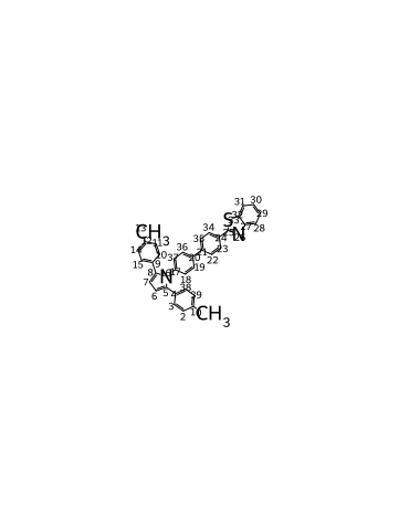 Cc1ccc(-c2ccc(-c3ccc(C)cc3)n2-c2ccc(-c3ccc(-c4nc5ccccc5s4)cc3)cc2)cc1